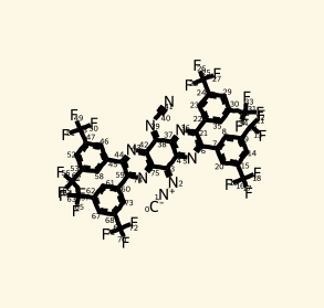 [C-]#[N+]N=C1c2nc(-c3cc(C(F)(F)F)cc(C(F)(F)F)c3)c(-c3cc(C(F)(F)F)cc(C(F)(F)F)c3)nc2C(=NC#N)c2nc(-c3cc(C(F)(F)F)cc(C(F)(F)F)c3)c(-c3cc(C(F)(F)F)cc(C(F)(F)F)c3)nc21